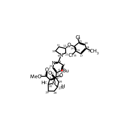 COC(=O)C1=C(c2ccc(N3CC[C@@H](Oc4c(Cl)cc(C)cc4Cl)C3)nc2)C[C@H]2CC[C@@H]1N2C(=O)OC(C)(C)C